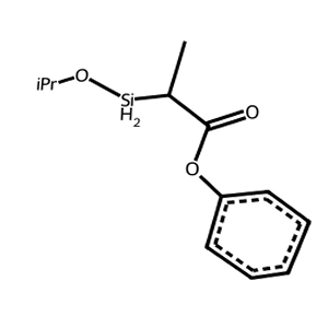 CC(C)O[SiH2]C(C)C(=O)Oc1ccccc1